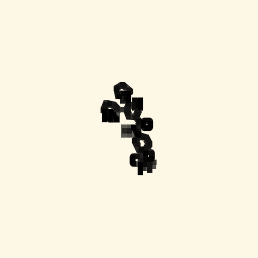 O=C(Nc1ccc(OC(F)(F)Cl)cc1)c1cnc(N2CCCC2)c(-c2cccnn2)c1